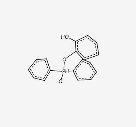 [O][PH](Oc1ccccc1O)(c1ccccc1)c1ccccc1